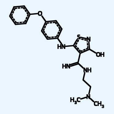 CN(C)CCNC(=N)c1c(O)nsc1Nc1ccc(Oc2ccccc2)cc1